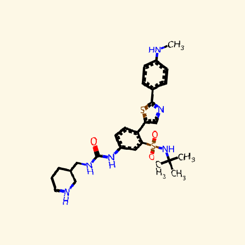 CNc1ccc(-c2ncc(-c3ccc(NC(=O)NCC4CCCNC4)cc3S(=O)(=O)NC(C)(C)C)s2)cc1